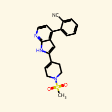 CS(=O)(=O)N1CC=C(c2cc3c(-c4ccccc4C#N)ccnc3[nH]2)CC1